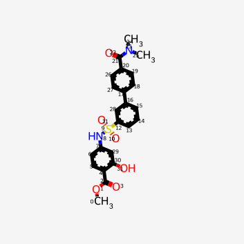 COC(=O)c1ccc(NS(=O)(=O)c2cccc(-c3ccc(C(=O)N(C)C)cc3)c2)cc1O